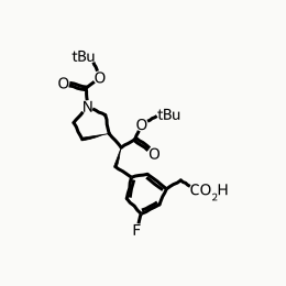 CC(C)(C)OC(=O)[C@@H](Cc1cc(F)cc(CC(=O)O)c1)[C@H]1CCN(C(=O)OC(C)(C)C)C1